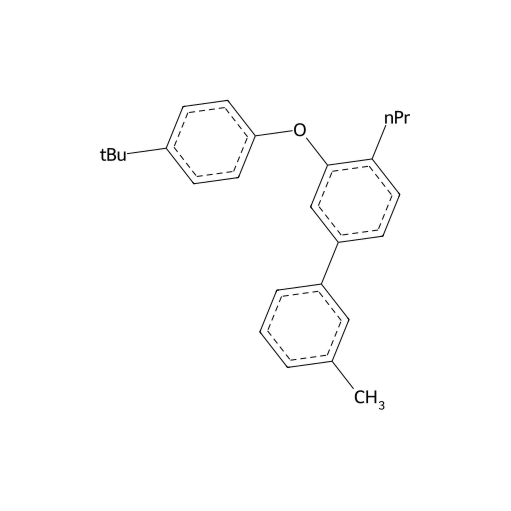 CCCc1ccc(-c2cccc(C)c2)cc1Oc1ccc(C(C)(C)C)cc1